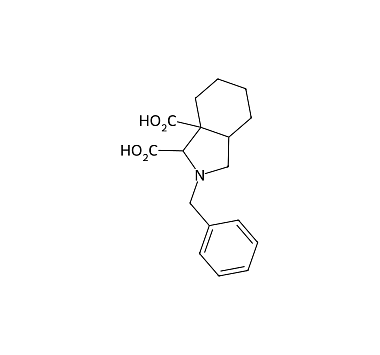 O=C(O)C1N(Cc2ccccc2)CC2CCCCC21C(=O)O